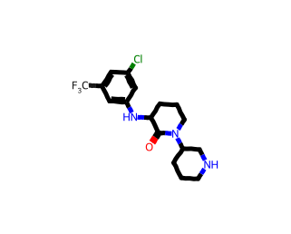 O=C1C(Nc2cc(Cl)cc(C(F)(F)F)c2)CCCN1C1CCCNC1